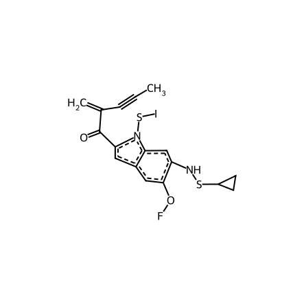 C=C(C#CC)C(=O)c1cc2cc(OF)c(NSC3CC3)cc2n1SI